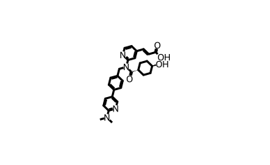 CN(C)c1ccc(-c2ccc(CN(c3cc(C=CC(=O)O)ccn3)C(=O)[C@H]3CC[C@H](O)CC3)cc2)cn1